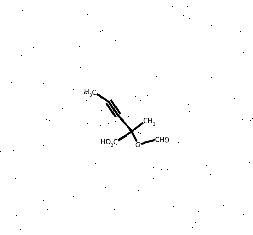 CC#CC(C)(OC=O)C(=O)O